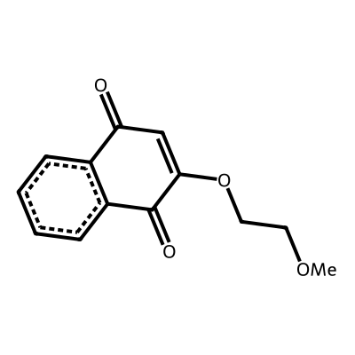 COCCOC1=CC(=O)c2ccccc2C1=O